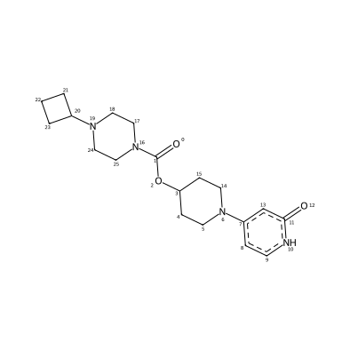 O=C(OC1CCN(c2cc[nH]c(=O)c2)CC1)N1CCN(C2CCC2)CC1